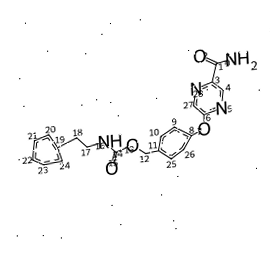 NC(=O)c1cnc(Oc2ccc(COC(=O)NCCc3ccccc3)cc2)cn1